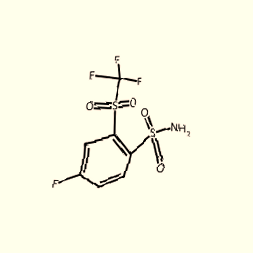 NS(=O)(=O)c1ccc(F)cc1S(=O)(=O)C(F)(F)F